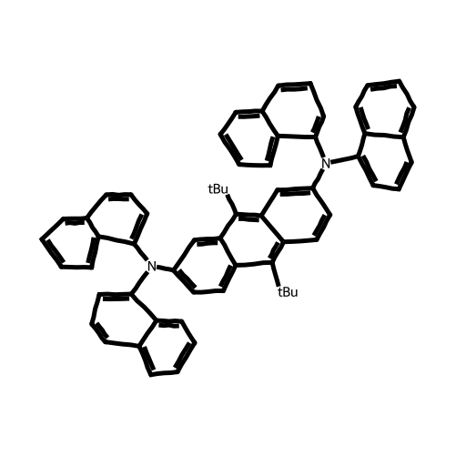 CC(C)(C)c1c2ccc(N(c3cccc4ccccc34)c3cccc4ccccc34)cc2c(C(C)(C)C)c2cc(N(c3cccc4ccccc34)c3cccc4ccccc34)ccc12